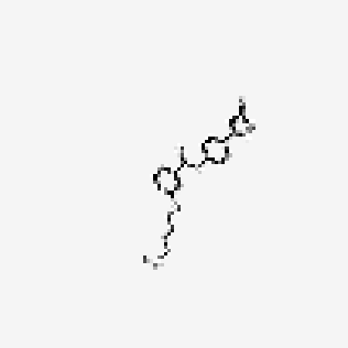 CCCCCOc1cccc(C(=O)Oc2ccc(-c3cc(=S)ss3)cc2)c1